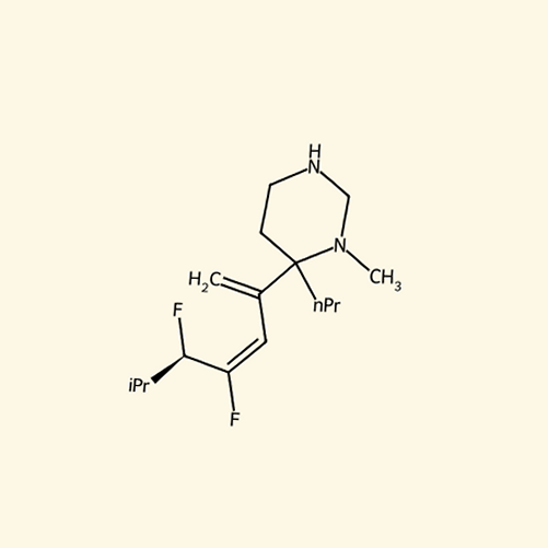 C=C(/C=C(/F)[C@H](F)C(C)C)C1(CCC)CCNCN1C